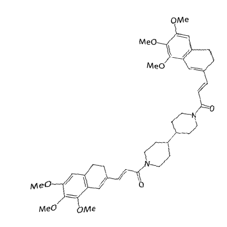 COc1cc2c(c(OC)c1OC)C=C(C=CC(=O)N1CCC(C3CCN(C(=O)C=CC4=Cc5c(cc(OC)c(OC)c5OC)CC4)CC3)CC1)CC2